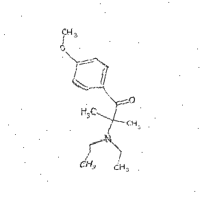 CCN(CC)C(C)(C)C(=O)c1ccc(OC)cc1